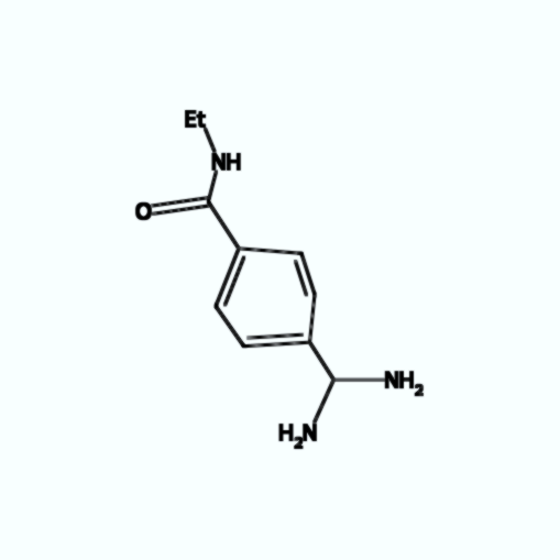 CCNC(=O)c1ccc(C(N)N)cc1